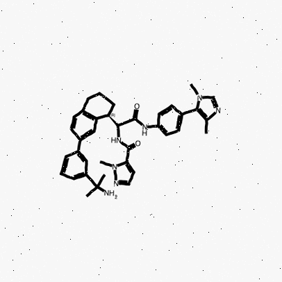 Cc1ncn(C)c1-c1ccc(NC(=O)C(NC(=O)c2ccnn2C)[C@@H]2CCCc3ccc(-c4cccc(C(C)(C)N)c4)cc32)cc1